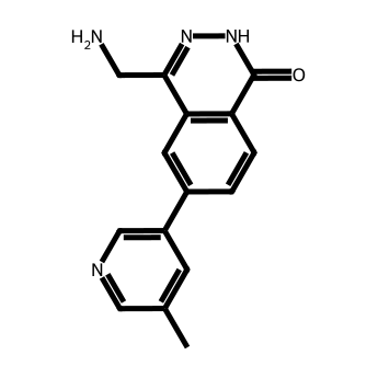 Cc1cncc(-c2ccc3c(=O)[nH]nc(CN)c3c2)c1